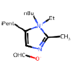 CCCC[N+]1(CC)C(C(C)CCC)=CN=C1C.O=C[O-]